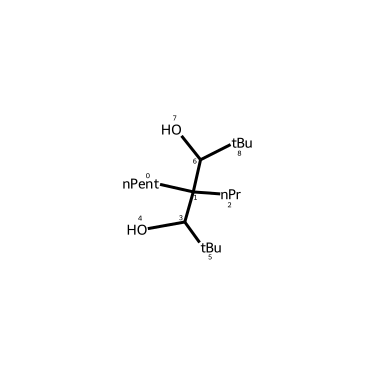 CCCCCC(CCC)(C(O)C(C)(C)C)C(O)C(C)(C)C